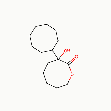 O=C1OCCCCCC1(O)C1CCCCCCC1